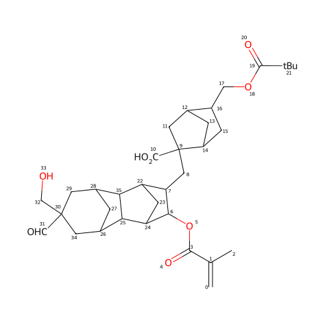 C=C(C)C(=O)OC1C(CC2(C(=O)O)CC3CC2CC3COC(=O)C(C)(C)C)C2CC1C1C3CC(CC(C=O)(CO)C3)C21